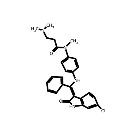 CN(C)CCC(=O)N(C)c1ccc(NC(=C2C(=O)Nc3cc(Cl)ccc32)c2ccccc2)cc1